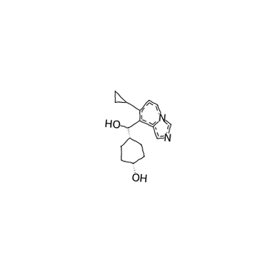 OC(c1c(C2CC2)ccn2cncc12)[C@H]1CC[C@@H](O)CC1